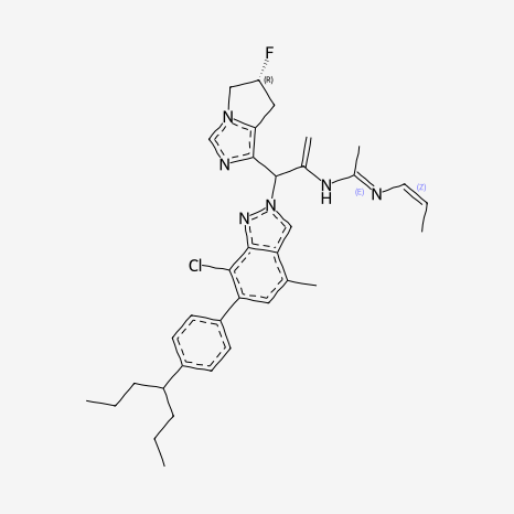 C=C(N/C(C)=N/C=C\C)C(c1ncn2c1C[C@@H](F)C2)n1cc2c(C)cc(-c3ccc(C(CCC)CCC)cc3)c(Cl)c2n1